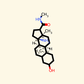 CNC(=O)C1CC[C@@]2(N)[C@@H]3CCC4CC(O)CC[C@]4(C)[C@@H]3CC[C@]12C